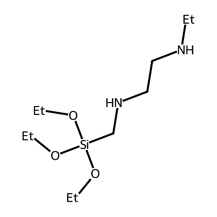 CCNCCNC[Si](OCC)(OCC)OCC